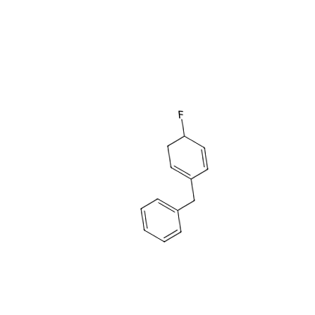 FC1C=CC(Cc2ccccc2)=CC1